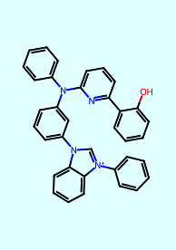 Oc1ccccc1-c1cccc(N(c2ccccc2)c2cccc(-n3c[n+](-c4ccccc4)c4ccccc43)c2)n1